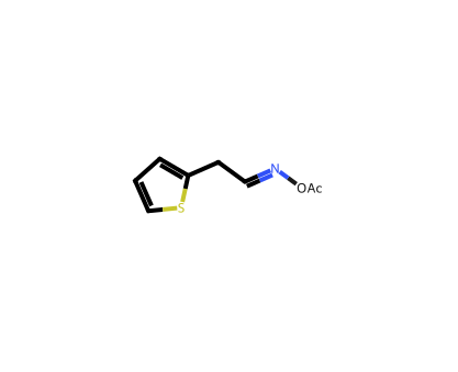 CC(=O)ON=CCc1cccs1